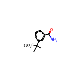 CCOC(=O)C(C)(C)c1cccc(C(N)=O)c1